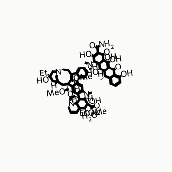 CC[C@]1(O)C[C@@H]2C[N@@](CCc3c([nH]c4ccccc34)[C@@](C(=O)OC)(c3cc4c(cc3OC)N(C)[C@H]3[C@@](O)(C(=O)OC)[C@H](OC(C)=O)[C@]5(CC)C=CCN6CC[C@]43[C@@H]65)C2)C1.C[C@H]1c2cccc(O)c2C(=O)C2=C(O)[C@]3(O)C(=O)C(C(N)=O)=C(O)[C@@H](N(C)C)[C@@H]3[C@@H](O)[C@@H]21.O